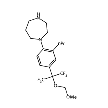 CCCc1cc(C(OCOC)(C(F)(F)F)C(F)(F)F)ccc1N1CCCNCC1